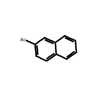 CC(=O)c1ccc2[c]cccc2c1